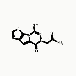 CCCc1nn(CC(N)=O)c(=O)c2cc3ccsc3n12